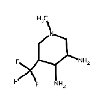 CN1CC(N)C(N)C(C(F)(F)F)C1